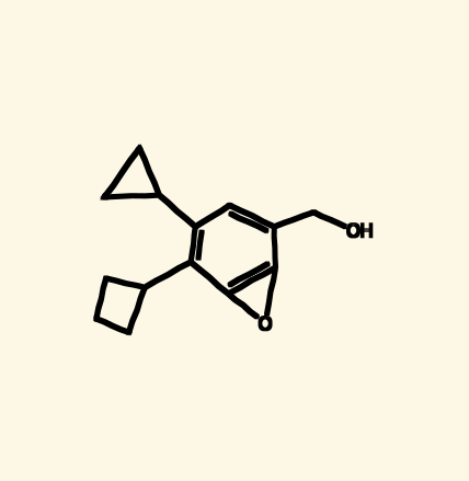 OCc1cc(C2CC2)c(C2CCC2)c2c1O2